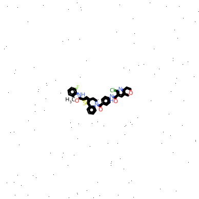 Cc1cccc(F)c1NC(=O)c1cc2c(s1)-c1ccccc1N(C(=O)c1ccc(NC(=O)c3cc4c(nc3Cl)CCOC4)cc1)CC2